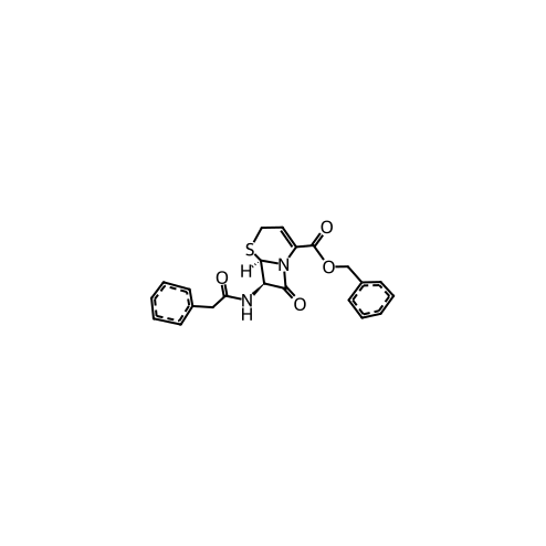 O=C(Cc1ccccc1)N[C@@H]1C(=O)N2C(C(=O)OCc3ccccc3)=CCS[C@H]12